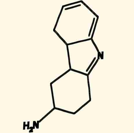 NC1CCC2=NC3=CC=CCC3C2C1